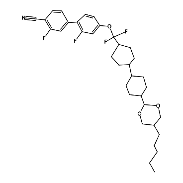 CCCCCC1COC(C2CCC(C3CCC(C(F)(F)Oc4ccc(-c5ccc(C#N)c(F)c5)c(F)c4)CC3)CC2)OC1